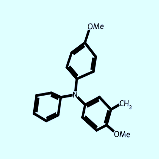 COc1ccc(N(c2ccccc2)c2ccc(OC)c(C)c2)cc1